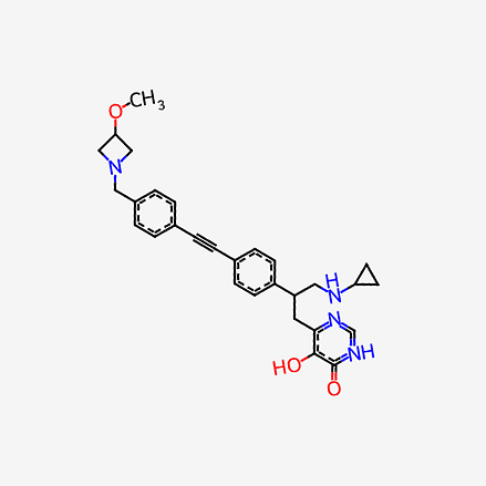 COC1CN(Cc2ccc(C#Cc3ccc(C(CNC4CC4)Cc4nc[nH]c(=O)c4O)cc3)cc2)C1